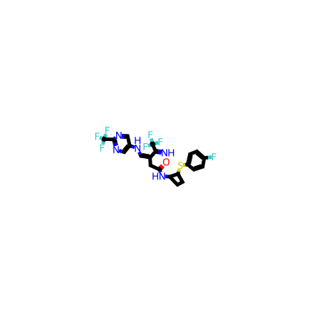 N=C(/C(=C\Nc1cnc(C(F)(F)F)nc1)CC(=O)NC1CCC1Sc1ccc(F)cc1)C(F)(F)F